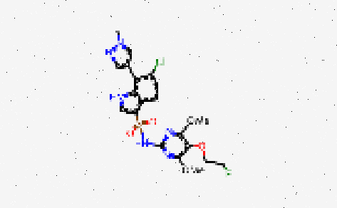 COc1nc(NS(=O)(=O)c2c[nH]c3c(-c4cnn(C)c4)c(Cl)ccc23)nc(OC)c1OCCF